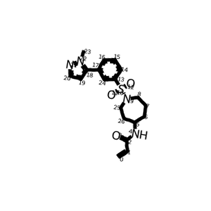 C=CC(=O)NC1CCCN(S(=O)(=O)c2cccc(-c3ccnn3C)c2)CC1